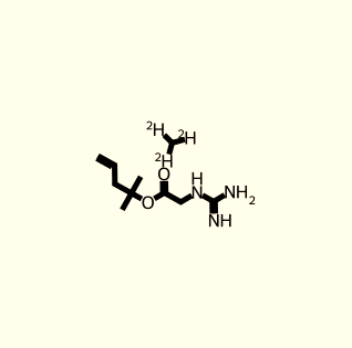 C=CCC(C)(C)OC(=O)CNC(=N)N.[2H]C([2H])[2H]